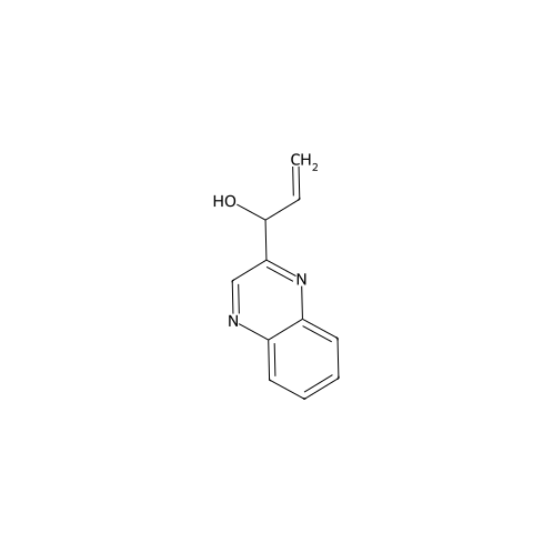 C=CC(O)c1cnc2ccccc2n1